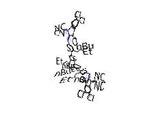 [C-]#[N+]C([N+]#[C-])=C1/C(=C/c2cc(CC(CC)CCCC)c(-c3cc4c(s3)-c3sc(-c5sc(/C=C6\C(=O)c7cc(Cl)c(Cl)cc7\C6=C(/C#N)[N+]#[C-])cc5CC(CC)CCCC)cc3C4(CC(CC)CCCC)CC(CC)CCCC)s2)C(=O)c2cc(Cl)c(Cl)cc21